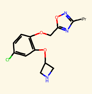 CC(C)c1noc(COc2ccc(Cl)cc2OC2CNC2)n1